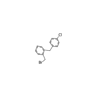 Clc1ccc(Cc2ccccc2CBr)cc1